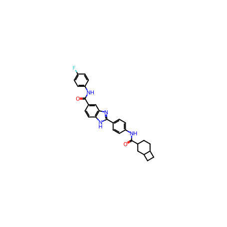 O=C(Nc1ccc(F)cc1)c1ccc2[nH]c(-c3ccc(NC(=O)C4CCC5CCC5C4)cc3)nc2c1